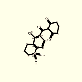 O=C1CCCC(=O)C1C(=O)c1ccc2c(c1Cl)CCCS2(=O)=O